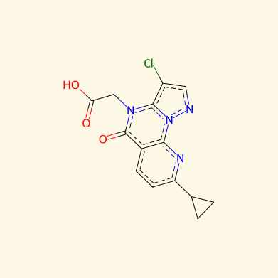 O=C(O)Cn1c(=O)c2ccc(C3CC3)nc2n2ncc(Cl)c12